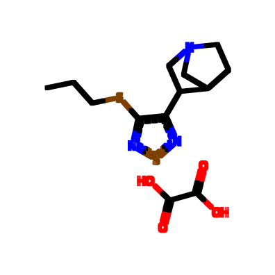 CCCSc1nsnc1C1CN2CCC1C2.O=C(O)C(=O)O